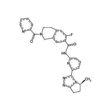 C[C@H]1CCc2nnc(-c3cccc(NC(=O)c4cc5c(cc4F)CCN(C(=O)c4ccccn4)C5)n3)n21